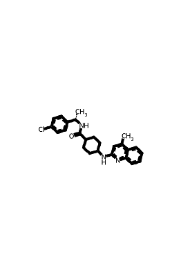 Cc1cc(NC2CCC(C(=O)N[C@@H](C)c3ccc(Cl)cc3)CC2)nc2ccccc12